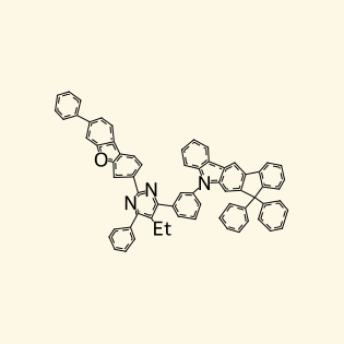 CCc1c(-c2ccccc2)nc(-c2ccc3c(c2)oc2cc(-c4ccccc4)ccc23)nc1-c1cccc(-n2c3ccccc3c3cc4c(cc32)C(c2ccccc2)(c2ccccc2)c2ccccc2-4)c1